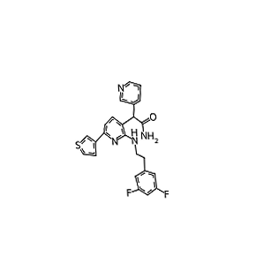 NC(=O)C(c1cccnc1)c1ccc(-c2ccsc2)nc1NCCc1cc(F)cc(F)c1